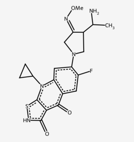 CO/N=C1/CN(c2cc3c(cc2F)c(=O)c2c(=O)[nH]sc2n3C2CC2)CC1C(C)N